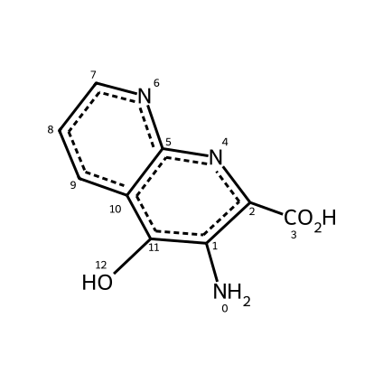 Nc1c(C(=O)O)nc2ncccc2c1O